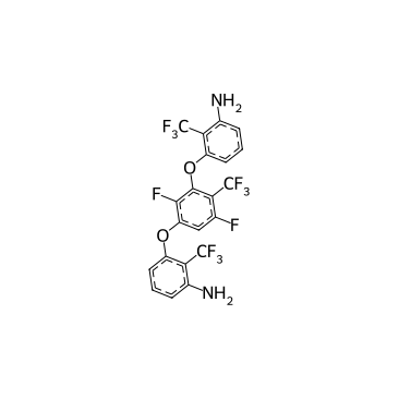 Nc1cccc(Oc2cc(F)c(C(F)(F)F)c(Oc3cccc(N)c3C(F)(F)F)c2F)c1C(F)(F)F